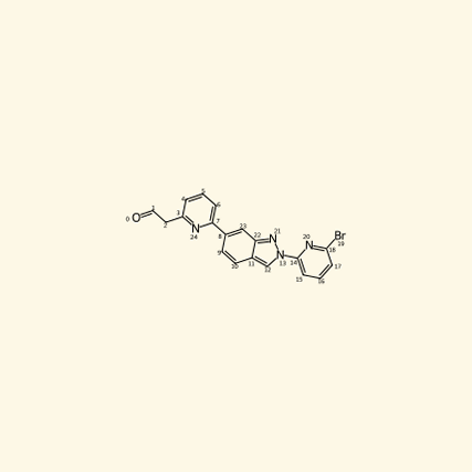 O=CCc1cccc(-c2ccc3cn(-c4cccc(Br)n4)nc3c2)n1